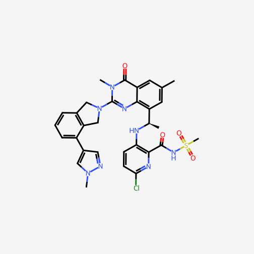 Cc1cc([C@@H](C)Nc2ccc(Cl)nc2C(=O)NS(C)(=O)=O)c2nc(N3Cc4cccc(-c5cnn(C)c5)c4C3)n(C)c(=O)c2c1